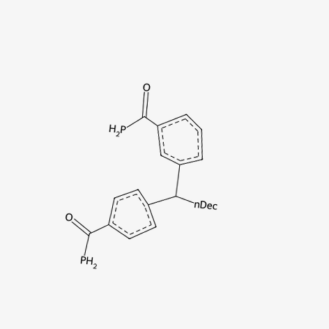 CCCCCCCCCCC(c1ccc(C(=O)P)cc1)c1cccc(C(=O)P)c1